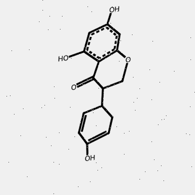 O=C1c2c(O)cc(O)cc2OCC1C1C=CC(O)=CC1